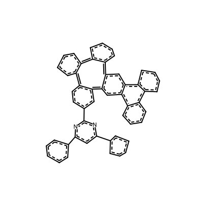 c1ccc(-c2cc(-c3ccccc3)nc(-c3ccc4/c(c3)=c3/cc5c6ccccc6c6ccccc6c5c/c3=c3\cccc\c3=c3/cccc/c3=4)n2)cc1